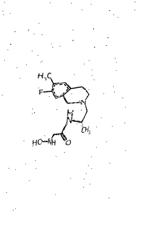 Cc1cc2c(cc1F)CN(C[C@H](C)NC(=O)CNO)CC2